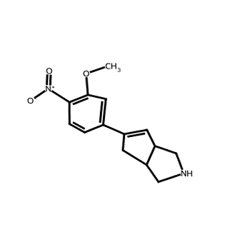 COc1cc(C2=CC3CNCC3C2)ccc1[N+](=O)[O-]